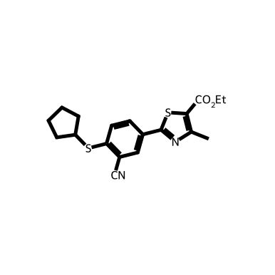 CCOC(=O)c1sc(-c2ccc(SC3CCCC3)c(C#N)c2)nc1C